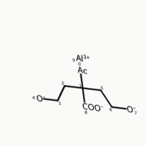 CC(=O)C(CC[O-])(CC[O-])C(=O)[O-].[Al+3]